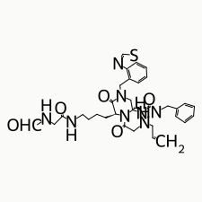 C=CCN1CC(=O)N2[C@@H](CCCCNC(=O)CNC=O)C(=O)N(Cc3cccc4scnc34)C[C@@H]2N1C(=O)NCc1ccccc1